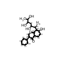 CC(O)C(O)CC(O)C(C)c1c(O)ccc2c(=O)c(-c3ccccc3)coc12